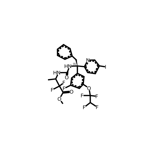 COC(=O)C(F)(F)C(C)NC(=O)N[C@@](Cc1ccccc1)(c1cc(F)cc(OC(F)(F)C(F)F)c1)c1ccc(I)cn1